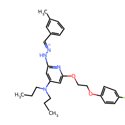 CCCN(CCC)c1cc(N/N=C/c2cccc(C)c2)nc(OCCOc2ccc(F)cc2)c1